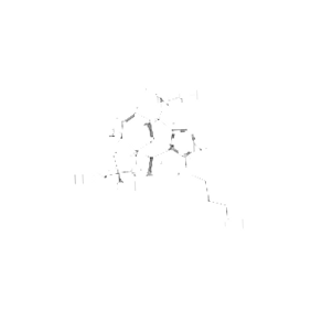 CCCCOc1noc(CN(C)C)c1C(=O)[C@]12C=CC=C[C@H]1OC(C)(C)O2